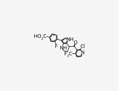 O=C(O)c1ccc(-c2c[nH]c3c2NCCC3C(=O)c2c(C(F)(F)F)ccnc2Cl)c(F)c1